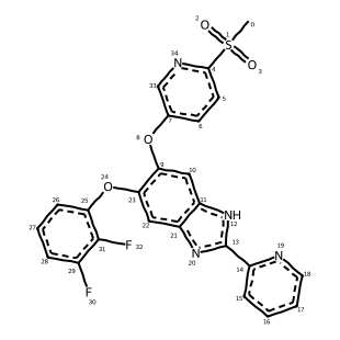 CS(=O)(=O)c1ccc(Oc2cc3[nH]c(-c4ccccn4)nc3cc2Oc2cccc(F)c2F)cn1